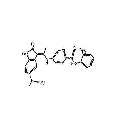 CC(Nc1ccc(C(=O)Nc2ccccc2N)cc1)=C1C(=O)Nc2ccc(C(C)O)cc21